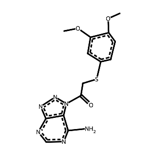 COc1ccc(SCC(=O)n2nnc3ncnc(N)c32)cc1OC